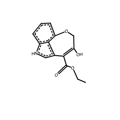 CCOC(=O)C1=C(O)COc2cccc3[nH]cc1c23